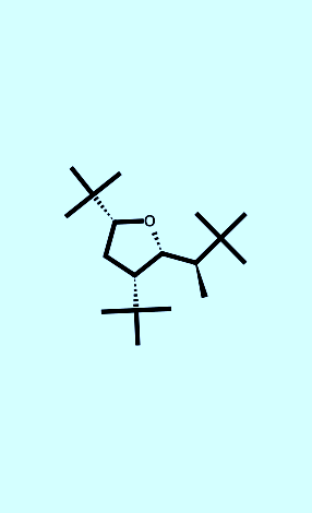 C[C@@H]([C@H]1O[C@@H](C(C)(C)C)C[C@H]1C(C)(C)C)C(C)(C)C